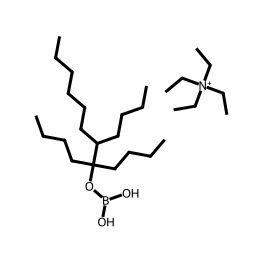 CCCCCCC(CCCC)C(CCCC)(CCCC)OB(O)O.CC[N+](CC)(CC)CC